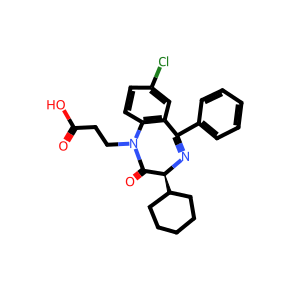 O=C(O)CCN1C(=O)[C@H](C2CCCCC2)N=C(c2ccccc2)c2cc(Cl)ccc21